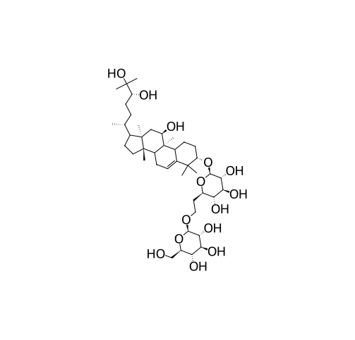 C[C@H](CC[C@@H](O)C(C)(C)O)C1CC[C@@]2(C)C3CC=C4C(CC[C@H](O[C@@H]5O[C@H](CCO[C@@H]6O[C@H](CO)[C@@H](O)[C@H](O)[C@H]6O)[C@@H](O)[C@H](O)[C@H]5O)C4(C)C)[C@]3(C)[C@H](O)C[C@]12C